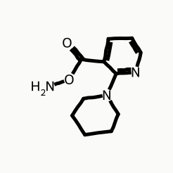 NOC(=O)c1cccnc1N1CCCCC1